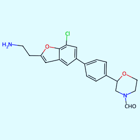 NCCc1cc2cc(-c3ccc(C4CN(C=O)CCO4)cc3)cc(Cl)c2o1